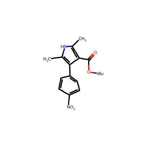 Cc1[nH]c(C)c(-c2ccc([N+](=O)[O-])cc2)c1C(=O)OC(C)(C)C